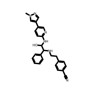 Cn1cc(-c2ccc(NC(O)C(NCCc3ccc(C#N)cc3)c3ccccc3)nc2)cn1